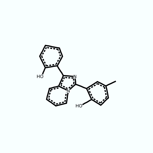 Cc1ccc(O)c(-c2nc(-c3ccccc3O)c3ccccn23)c1